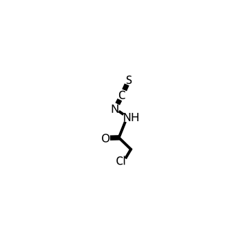 O=C(CCl)NN=C=S